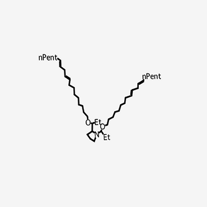 CCCCCC=CCC=CCCCCCCCCOC(CC)C1CCCN1C(CC)OCCCCCCCCC=CCC=CCCCCC